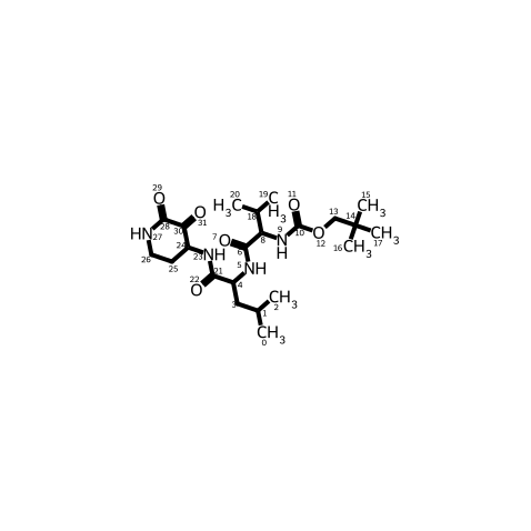 CC(C)CC(NC(=O)C(NC(=O)OCC(C)(C)C)C(C)C)C(=O)NC1CCNC(=O)C1=O